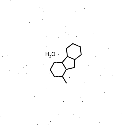 CC1CCCC2C1CC1CCCCC12.O